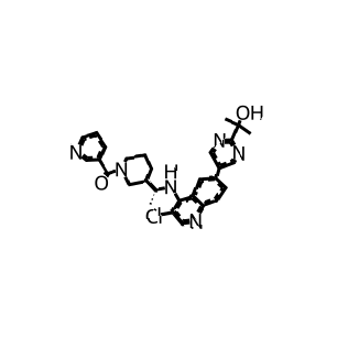 C[C@@H](Nc1c(Cl)cnc2ccc(-c3cnc(C(C)(C)O)nc3)cc12)C1CCCN(C(=O)c2cccnc2)C1